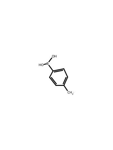 [CH2]c1ccc(B(O)O)cc1